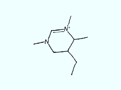 CCC1CN(C)C=[N+](C)C1C